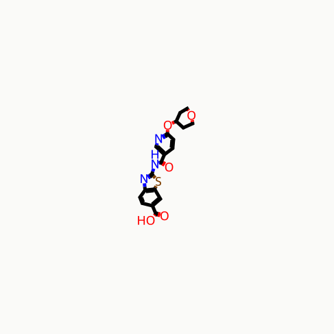 O=C(O)c1ccc2nc(NC(=O)c3ccc(OC4CCOCC4)nc3)sc2c1